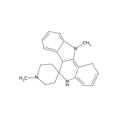 CN1CCC2(CC1)NC1=CC=CCC1=C1C2c2ccccc2N1C